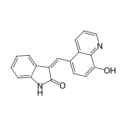 O=C1Nc2ccccc2C1=Cc1ccc(O)c2ncccc12